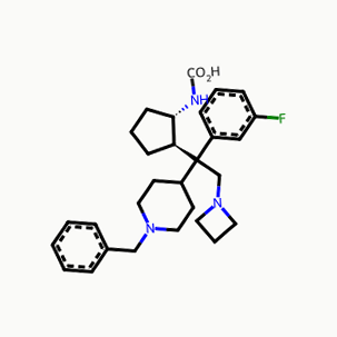 O=C(O)N[C@H]1CCC[C@@H]1C(CN1CCC1)(c1cccc(F)c1)C1CCN(Cc2ccccc2)CC1